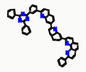 c1ccc(-c2ccc3ccc4ccc(-c5ccc6ccc(-c7ccc8ccc(-c9cccc(-c%10nc(-c%11ccccc%11)nc(-c%11ccccc%11)n%10)c9)nc8c7)nc6c5)nc4c3n2)cc1